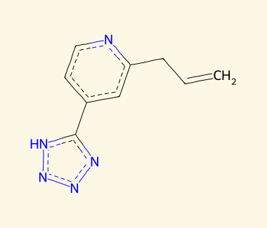 C=CCc1cc(-c2nnn[nH]2)ccn1